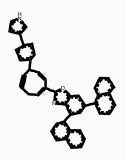 C1#CC(c2ccc(-c3cc[nH]c3)cc2)/C=C\C(c2nc3c(-c4cccc5ccccc45)cc(-c4cccc5ccccc45)cc3o2)=C/C1